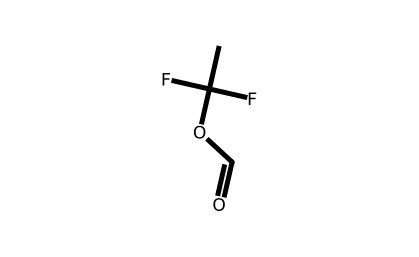 CC(F)(F)OC=O